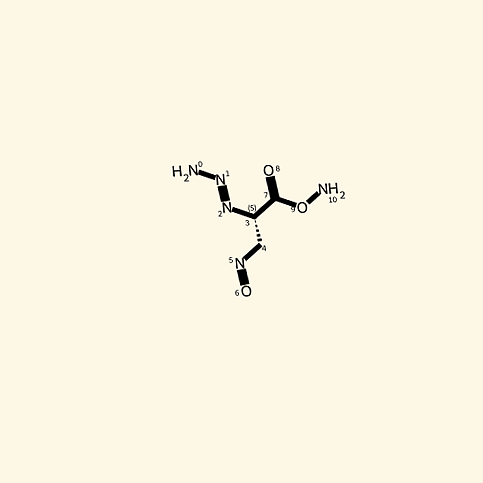 NN=N[C@@H](CN=O)C(=O)ON